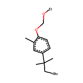 [CH2]COCOc1ccc(C(C)(C)CC(C)(C)C)cc1C